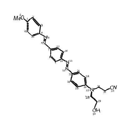 COc1ccc(N=Nc2ccc(N=Nc3ccc(N(CCO)CCC#N)cc3)cc2)cc1